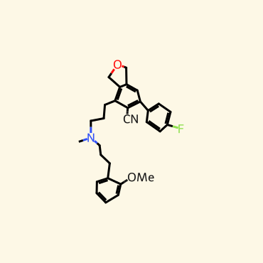 COc1ccccc1CCCN(C)CCCc1c(C#N)c(-c2ccc(F)cc2)cc2c1COC2